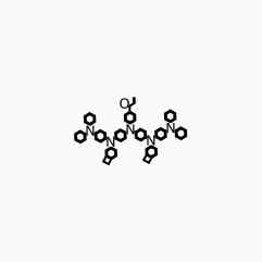 C=CC(=O)c1ccc(N(c2ccc(N(c3ccc(N(c4ccccc4)c4ccccc4)cc3)c3ccc4c(c3)CC4)cc2)c2ccc(N(c3ccc(N(c4ccccc4)c4ccccc4)cc3)c3ccc4c(c3)CC4)cc2)cc1